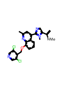 C=C(NC)c1cnc(-c2cc(C)nc3c(OCc4c(Cl)cncc4Cl)cccc23)n1C